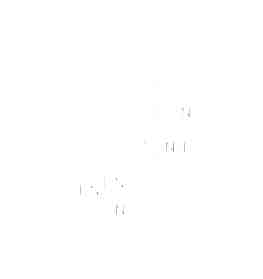 Nc1nc2cccc(C(=O)Nc3nc4ccccc4s3)c2[nH]1